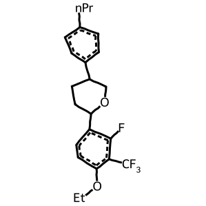 CCCc1ccc(C2CCC(c3ccc(OCC)c(C(F)(F)F)c3F)OC2)cc1